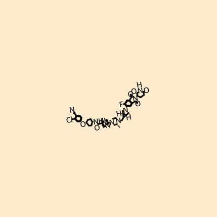 C[C@H]1CN(c2cnc(C(=O)N[C@H]3CC[C@H](Oc4ccc(C#N)c(Cl)c4)CC3)cn2)CCN1CC1[C@H]2CN(c3cc4c(cc3F)C(=O)N(C3CCC(=O)NC3=O)C4=O)C[C@@H]12